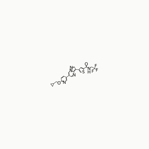 O=C(NCC(F)(F)F)c1cc(-c2cnn3cc(-c4ccc(OCC5CC5)nc4)cnc23)cs1